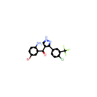 Nc1ccc(Br)cc1C(=O)c1c[nH]nc1-c1ccc(Cl)c(C(F)(F)F)c1